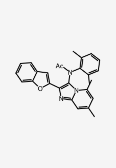 CC(=O)N(c1c(C)cccc1C)c1c(-c2cc3ccccc3o2)nc2cc(C)cc(C)n12